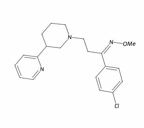 CON=C(CCN1CCCC(c2ccccn2)C1)c1ccc(Cl)cc1